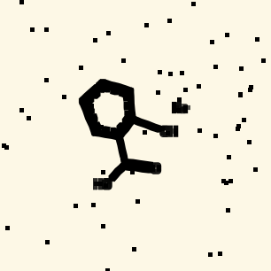 O=C(O)c1ccccc1O.[Na]